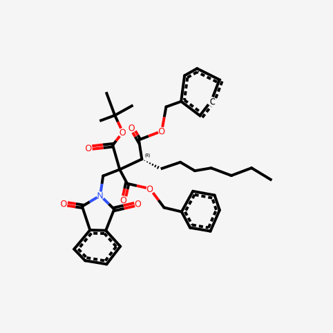 CCCCCCC[C@@H](C(=O)OCc1ccccc1)C(CN1C(=O)c2ccccc2C1=O)(C(=O)OCc1ccccc1)C(=O)OC(C)(C)C